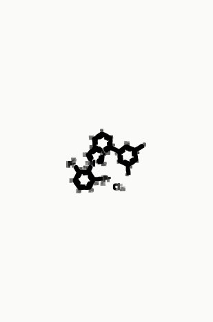 Cc1cc(C)cc(-c2cccc3c[n+](-c4c(C(C)C)cccc4C(C)C)cn23)c1.[Cl-]